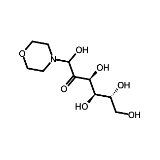 O=C(C(O)N1CCOCC1)[C@@H](O)[C@H](O)[C@H](O)CO